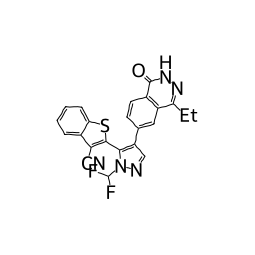 CCc1n[nH]c(=O)c2ccc(-c3cnn(C(F)F)c3-c3sc4ccccc4c3C#N)cc12